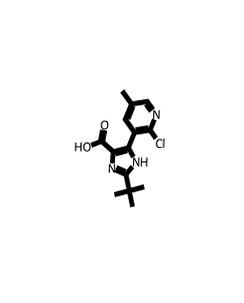 Cc1cnc(Cl)c(-c2[nH]c(C(C)(C)C)nc2C(=O)O)c1